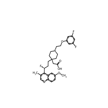 COc1ccc2ncc(C)c([C@@H](F)CCC3(CC(=O)O)CCN(CCOc4cc(F)cc(F)c4)CC3)c2c1